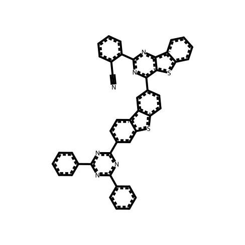 N#Cc1ccccc1-c1nc(-c2ccc3sc4cc(-c5nc(-c6ccccc6)nc(-c6ccccc6)n5)ccc4c3c2)c2sc3ccccc3c2n1